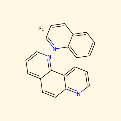 [Pd].c1ccc2ncccc2c1.c1cnc2c(c1)ccc1ncccc12